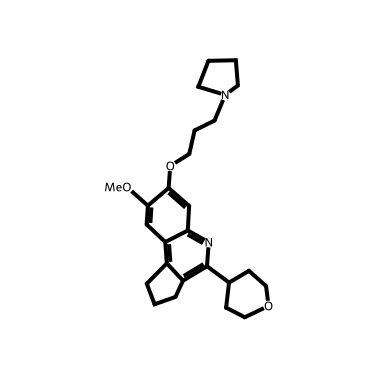 COc1cc2c3c(c(C4CCOCC4)nc2cc1OCCCN1CCCC1)CCC3